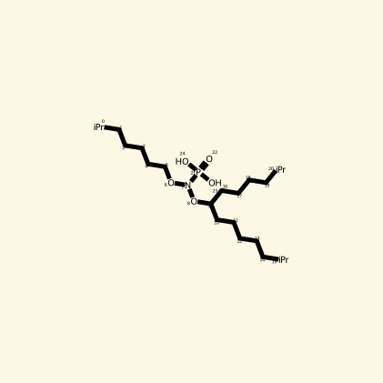 CC(C)CCCCCON(OC(CCCCCC(C)C)CCCCC(C)C)P(=O)(O)O